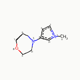 Cn1ccc(N2CCOCC2)c1